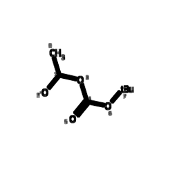 CC([O])OC(=O)OC(C)(C)C